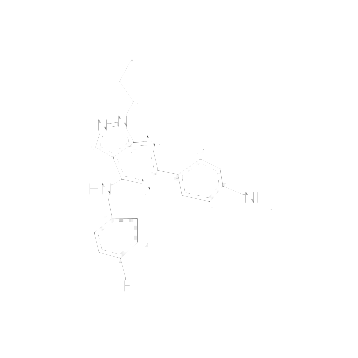 CCCn1ncc2c(Nc3ccc(F)cc3)nc(-c3ccc(N)cc3)nc21